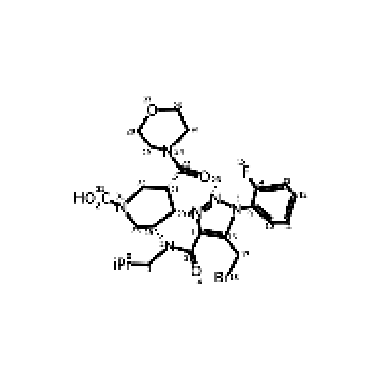 CC(C)CN(C(=O)c1nnn(-c2ccccc2F)c1CBr)[C@H]1C[C@@H](C(=O)N2CCOCC2)CN(C(=O)O)C1